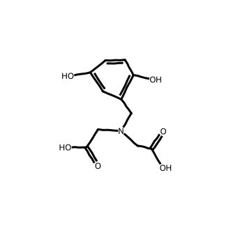 O=C(O)CN(CC(=O)O)Cc1cc(O)ccc1O